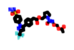 CC(=O)OCO/N=[N+](\[O-])N1CCCC1COC(=O)Cc1ccc(-c2cc(C(F)(F)F)nn2-c2ccc(S(N)(=O)=O)cc2)cc1